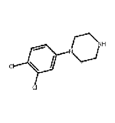 Clc1ccc(N2[CH]CNCC2)cc1Cl